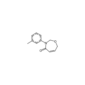 Cc1cccc(N2COCC=CC2=O)c1